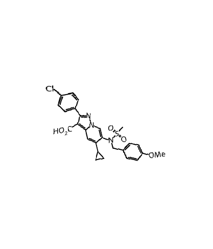 COc1ccc(CN(c2cn3nc(-c4ccc(Cl)cc4)c(C(=O)O)c3cc2C2CC2)S(C)(=O)=O)cc1